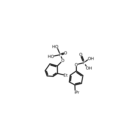 CC(C)c1ccc(OP(=O)(O)O)cc1.CCc1ccccc1OP(=O)(O)O